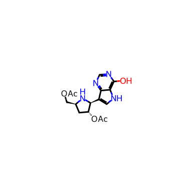 CC(=O)OC[C@@H]1C[C@@H](OC(C)=O)[C@H](c2c[nH]c3c(O)ncnc23)N1